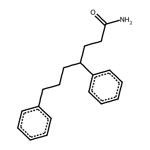 NC(=O)CCC(CCCc1ccccc1)c1ccccc1